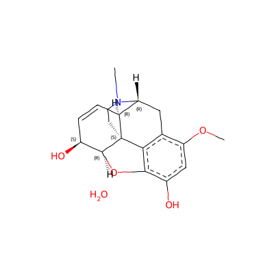 COc1cc(O)c2c3c1C[C@@H]1[C@@H]4C=C[C@H](O)[C@H](O2)[C@]34CCN1C.O